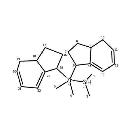 C[SiH](C)[Zr]([CH3])([CH3])([CH]1CCC2CC=CC=C21)[CH]1CCC2CC=CC=C21